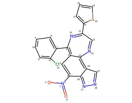 O=[N+]([O-])c1cc2c(-c3ccccc3Cl)nc(-c3cccs3)cnc2c2cnnc12